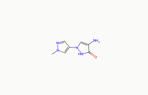 Cn1cc(-n2cc(N)c(=O)[nH]2)cn1